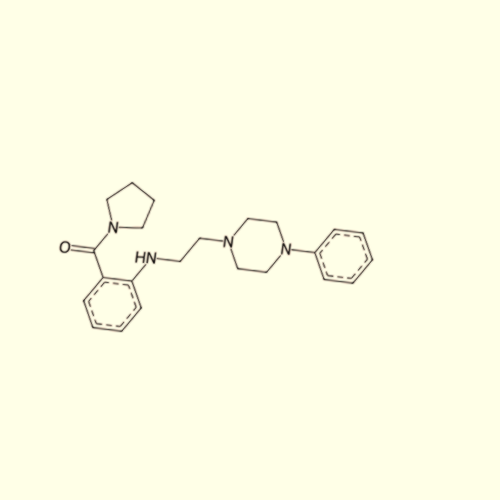 O=C(c1ccccc1NCCN1CCN(c2ccccc2)CC1)N1CCCC1